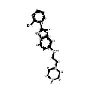 Brc1ccccc1-c1nc2ccc(OCCN3CCOCC3)cc2s1